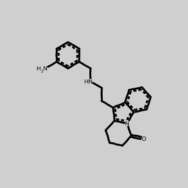 Nc1cccc(CNCCc2c3n(c4ccccc24)C(=O)CCC3)c1